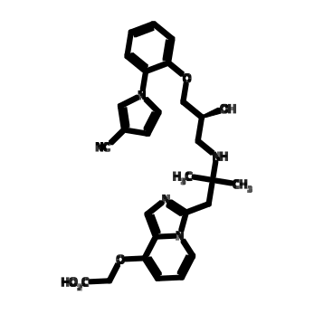 CC(C)(Cc1ncc2c(OCC(=O)O)cccn12)NC[C@H](O)COc1ccccc1-n1ccc(C#N)c1